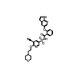 N#Cc1cc(S(=O)(=O)NC(=O)c2ccccc2Oc2cnc3[nH]ccc3c2)cnc1OCCC1CCOCC1